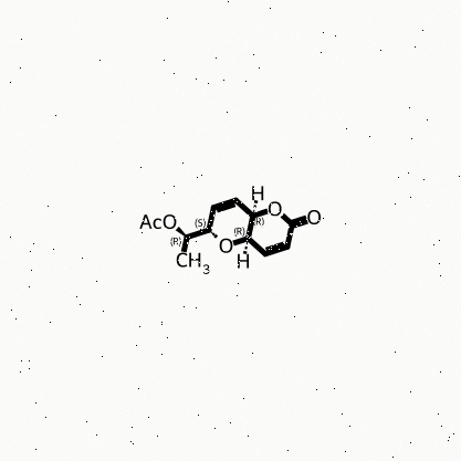 CC(=O)O[C@H](C)[C@@H]1C=C[C@H]2OC(=O)C=C[C@H]2O1